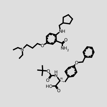 CC(C)(C)OC(=O)N[C@H](Cc1ccc(OCc2ccccc2)cc1)C(=O)O.CCN(CC)CCCOc1ccc(NCC2CCCC2)c(C(N)=O)c1